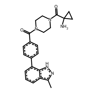 Cc1n[nH]c2c(-c3ccc(C(=O)N4CCN(C(=O)C5(N)CC5)CC4)cc3)cccc12